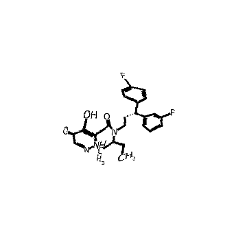 CCC(C)N(CC[C@H](c1ccc(F)cc1)c1cccc(F)c1)C(=O)c1[nH]ncc(=O)c1O